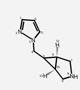 c1cnn(CC2[C@H]3CNC[C@@H]23)c1